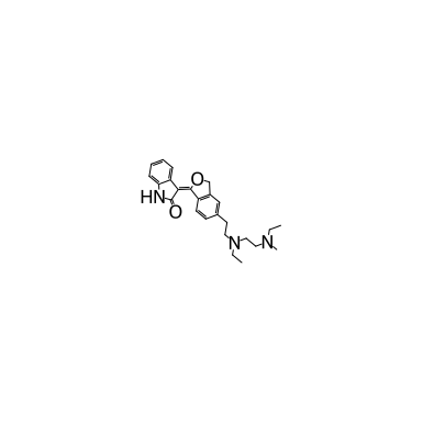 CCN(C)CCN(CC)CCc1ccc2c(c1)COC2=C1C(=O)Nc2ccccc21